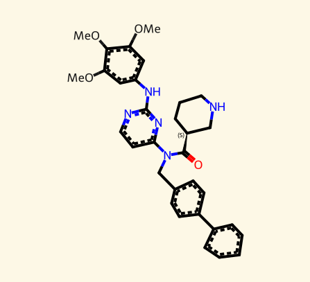 COc1cc(Nc2nccc(N(Cc3ccc(-c4ccccc4)cc3)C(=O)[C@H]3CCCNC3)n2)cc(OC)c1OC